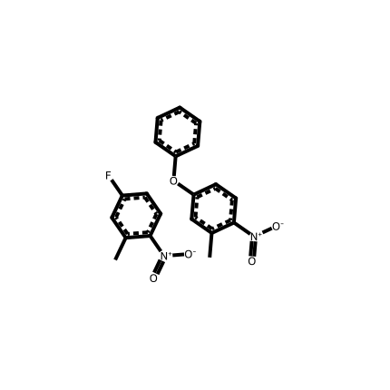 Cc1cc(F)ccc1[N+](=O)[O-].Cc1cc(Oc2ccccc2)ccc1[N+](=O)[O-]